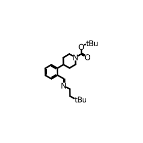 CC(C)(C)CCN=Cc1ccccc1C1CCN(C(=O)OC(C)(C)C)CC1